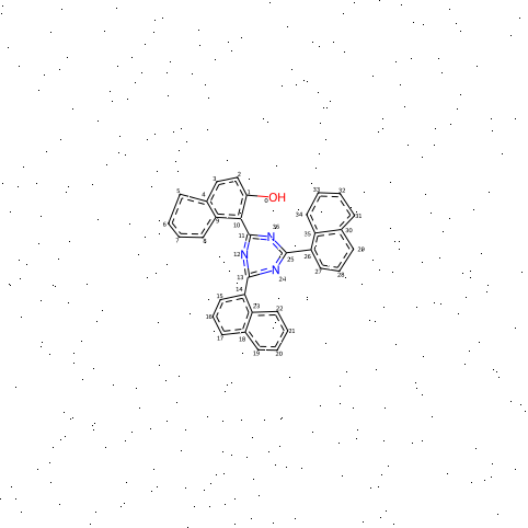 Oc1ccc2ccccc2c1-c1nc(-c2cccc3ccccc23)nc(-c2cccc3ccccc23)n1